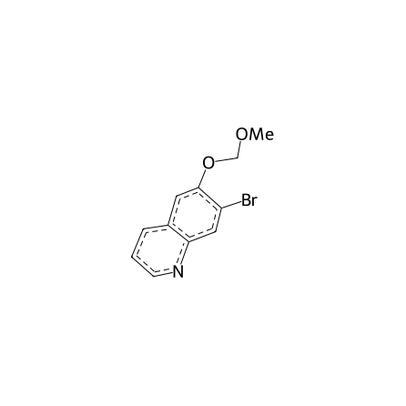 COCOc1cc2cccnc2cc1Br